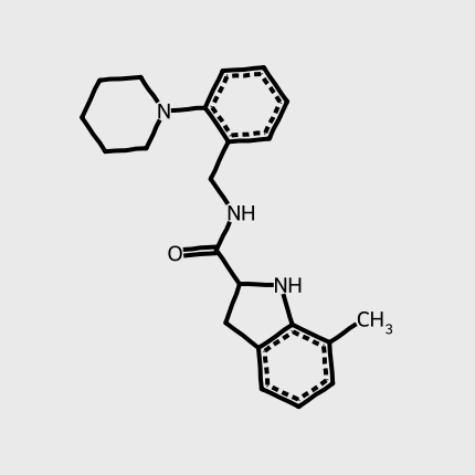 Cc1cccc2c1NC(C(=O)NCc1ccccc1N1CCCCC1)C2